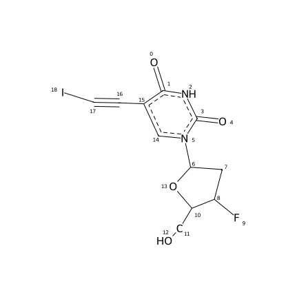 O=c1[nH]c(=O)n(C2CC(F)C(CO)O2)cc1C#CI